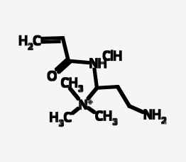 C=CC(=O)NC(CCN)[N+](C)(C)C.Cl